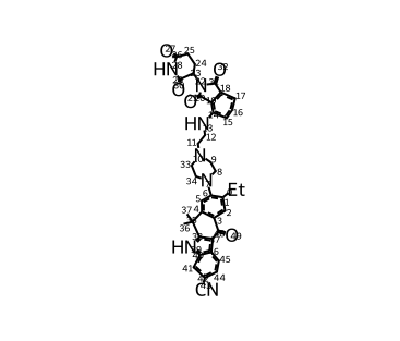 CCc1cc2c(cc1N1CCN(CCNc3cccc4c3C(=O)N(C3CCC(=O)NC3=O)C4=O)CC1)C(C)(C)c1[nH]c3cc(C#N)ccc3c1C2=O